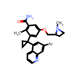 CC(=O)c1cc(C2(c3cc(OCC4CCN4C)cc(C(N)=O)c3C)CC2)c2cccnc2c1